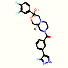 O=C(c1cccc(-c2c[nH]nc2F)c1)N1CCN2C[C@@](O)(c3ccc(F)c(F)c3)OC[C@@H]2C1